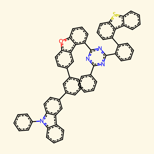 c1ccc(-c2nc(-c3ccccc3-c3cccc4sc5ccccc5c34)nc(-c3cccc4oc5ccc(-c6cccc(-c7ccc8c(c7)c7ccccc7n8-c7ccccc7)c6)cc5c34)n2)cc1